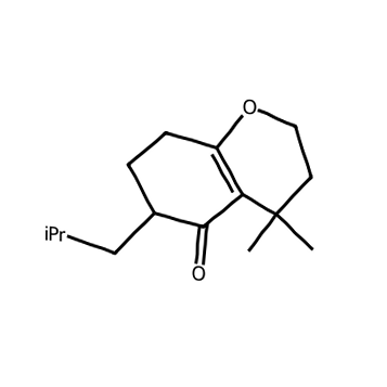 CC(C)CC1CCC2=C(C1=O)C(C)(C)CCO2